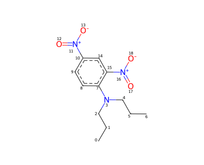 CCCN(CCC)c1ccc([N+](=O)[O-])cc1[N+](=O)[O-]